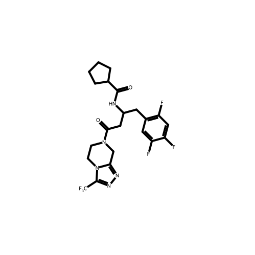 O=C(NC(CC(=O)N1CCn2c(nnc2C(F)(F)F)C1)Cc1cc(F)c(F)cc1F)C1CCCC1